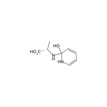 C[C@H](NC1(O)C=CC=CN1)C(=O)O